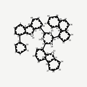 c1ccc(-c2cccc3c2oc2c(-c4nc(-c5cccc6c5oc5ccccc56)nc(-c5cccc6ccc7ccccc7c56)n4)cccc23)cc1